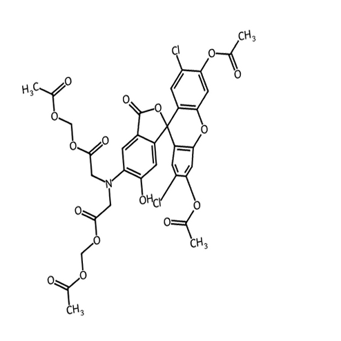 CC(=O)OCOC(=O)CN(CC(=O)OCOC(C)=O)c1cc2c(cc1O)C1(OC2=O)c2cc(Cl)c(OC(C)=O)cc2Oc2cc(OC(C)=O)c(Cl)cc21